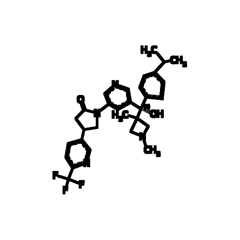 CC(C)c1ccc([C@](O)(c2cncc(N3CC(c4ccc(C(F)(F)F)nc4)CC3=O)c2)C2(C)CN(C)C2)cc1